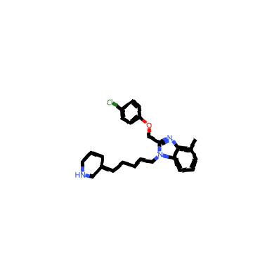 Cc1cccc2c1nc(COc1ccc(Cl)cc1)n2CCCCCC1CCCNC1